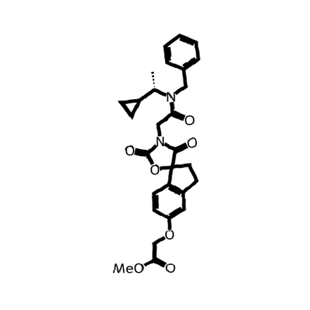 COC(=O)COc1ccc2c(c1)CCC21OC(=O)N(CC(=O)N(Cc2ccccc2)[C@@H](C)C2CC2)C1=O